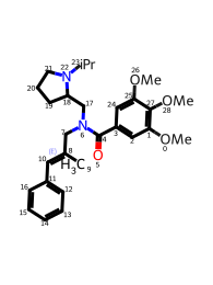 COc1cc(C(=O)N(C/C(C)=C/c2ccccc2)CC2CCCN2C(C)C)cc(OC)c1OC